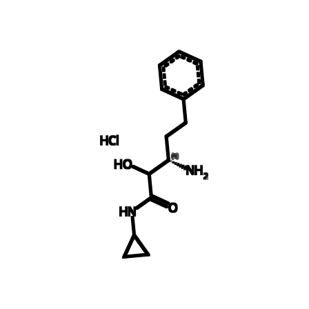 Cl.N[C@@H](CCc1ccccc1)C(O)C(=O)NC1CC1